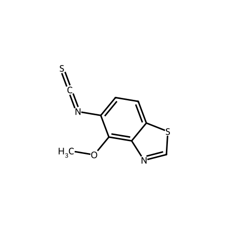 COc1c(N=C=S)ccc2scnc12